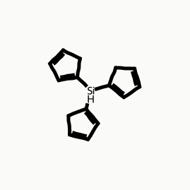 C1=CCC([SiH](C2=CC=CC2)C2=CC=CC2)=C1